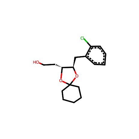 OCC[C@H]1OC2(CCCCC2)O[C@@H]1Cc1ccccc1Cl